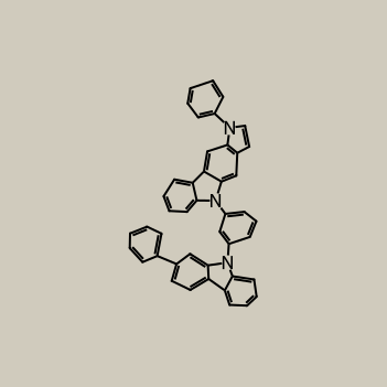 c1ccc(-c2ccc3c4ccccc4n(-c4cccc(-n5c6ccccc6c6cc7c(ccn7-c7ccccc7)cc65)c4)c3c2)cc1